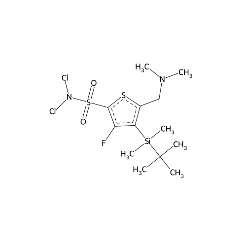 CN(C)Cc1sc(S(=O)(=O)N(Cl)Cl)c(F)c1[Si](C)(C)C(C)(C)C